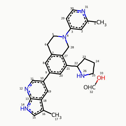 Cc1cc(N2CCc3cc(-c4cnc5[nH]cc(C)c5c4)cc(C4CCCN4)c3C2)ccn1.O=CO